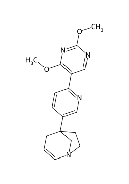 COc1ncc(-c2ccc(C34CC=CN(CC3)C4)cn2)c(OC)n1